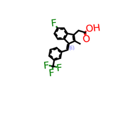 CC1=C(CC(=O)O)c2cc(F)ccc2/C1=C\c1cccc(C(F)(F)F)c1